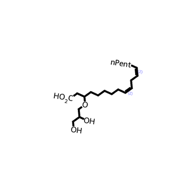 CCCCC/C=C\C/C=C\CCCCCC(CC(=O)O)OCC(O)CO